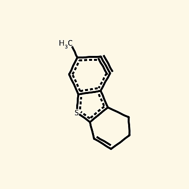 Cc1c#cc2c3c(sc2c1)C=CCC3